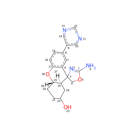 NC1=NC2(CO1)c1cc(-c3cncnc3)ccc1O[C@H]1CCC(O)C[C@@H]12